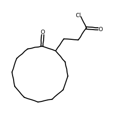 O=C(Cl)CCC1CCCCCCCCCCC1=O